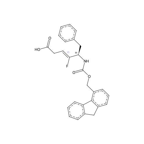 O=C(O)C/C=C(\F)[C@@H](Cc1ccccc1)NC(=O)OCc1cccc2c1-c1ccccc1C2